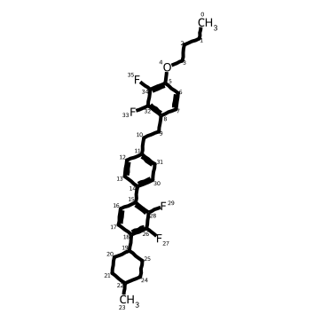 CCCCOc1ccc(CCc2ccc(-c3ccc(C4CCC(C)CC4)c(F)c3F)cc2)c(F)c1F